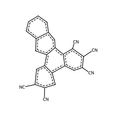 N#Cc1cc2c(cc1C#N)c1cc(C#N)c(C#N)c(C#N)c1c1cc3ccccc3cc21